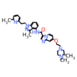 Cc1cccc(CCn2nc(C)c3c(NC(=O)c4cnc5cc(OCCN6CCN(C)[C@@H](C)C6)ccn45)cccc32)n1